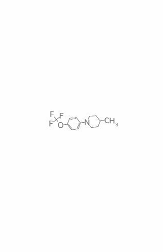 CC1CCN(c2ccc(OC(F)(F)F)cc2)CC1